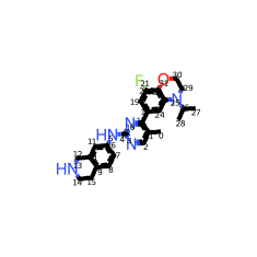 Cc1cnc(Nc2ccc3c(c2)CNCC3)nc1-c1cc(F)c2c(c1)N(C(C)C)CCO2